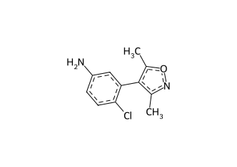 Cc1noc(C)c1-c1cc(N)ccc1Cl